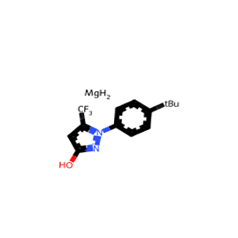 CC(C)(C)c1ccc(-n2nc(O)cc2C(F)(F)F)cc1.[MgH2]